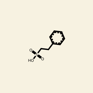 O=S(=O)(O)CCc1cc[c]cc1